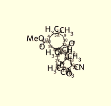 COC(=O)[C@H]1CCC(C)(C)CCC2C(=O)C=C3[C@@]4(C)C=C(C#N)C(=O)C(C)(C)[C@@H]4CC[C@@]3(C)[C@]2(C)CC1